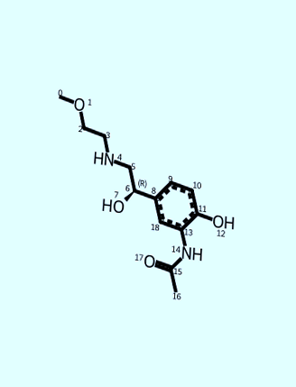 COCCNC[C@H](O)c1ccc(O)c(NC(C)=O)c1